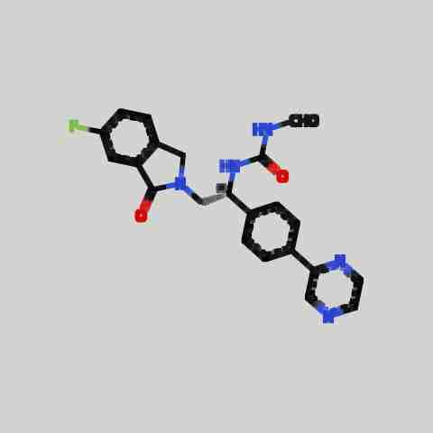 O=CNC(=O)N[C@@H](CN1Cc2ccc(F)cc2C1=O)c1ccc(-c2cnccn2)cc1